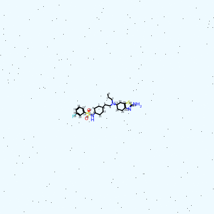 CCCN(CCC1CCC(NS(=O)(=O)c2cccc(F)c2)CC1)C1CCc2nc(N)sc2C1